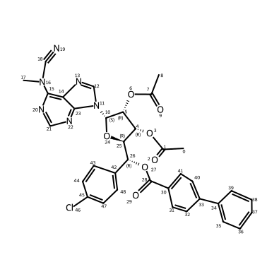 CC(=O)O[C@H]1[C@@H](OC(C)=O)[C@@H](n2cnc3c(N(C)C#N)ncnc32)O[C@@H]1[C@H](OC(=O)c1ccc(-c2ccccc2)cc1)c1ccc(Cl)cc1